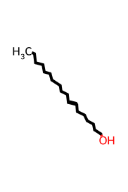 CCCCCCCCCCC=CCCCCCCO